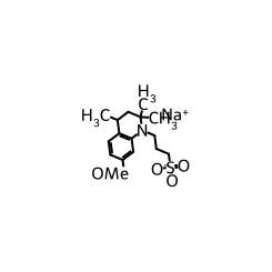 COc1ccc2c(c1)N(CCCS(=O)(=O)[O-])C(C)(C)CC2C.[Na+]